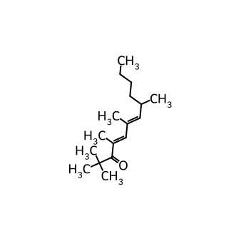 CCCCC(C)/C=C(C)/C=C(\C)C(=O)C(C)(C)C